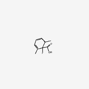 CC1=CC=CC(C)C1(F)C(=O)O